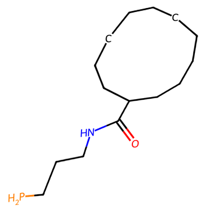 O=C(NCCCP)C1CCCCCCCCCC1